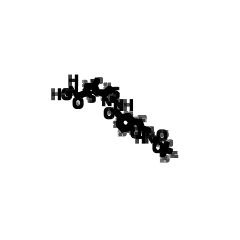 Cc1cc(C(=O)NO)sc1-c1csc(NC(=O)c2ccc3oc(CNC(=O)OC(C)(C)C)cc3c2)n1